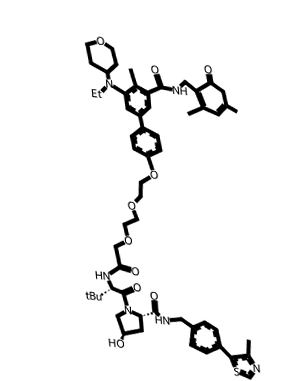 CCN(c1cc(-c2ccc(OCCOCCOCC(=O)N[C@H](C(=O)N3C[C@H](O)C[C@H]3C(=O)NCc3ccc(-c4scnc4C)cc3)C(C)(C)C)cc2)cc(C(=O)NCC2=C(C)C=C(C)CC2=O)c1C)C1CCOCC1